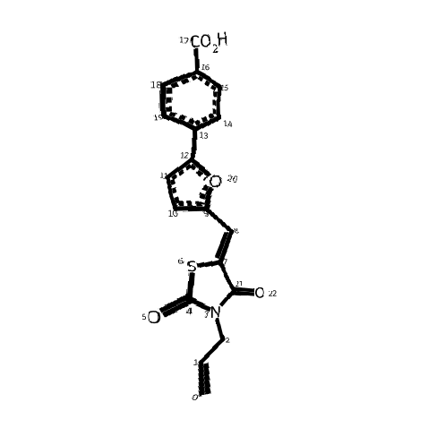 C=CCN1C(=O)S/C(=C\c2ccc(-c3ccc(C(=O)O)cc3)o2)C1=O